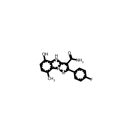 Cc1ccc(O)c2[nH]c3c(C(N)=O)c(-c4ccc(F)cc4)nn3c12